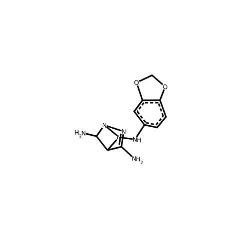 NC1=NN2C(N)C1N2Nc1ccc2c(c1)OCO2